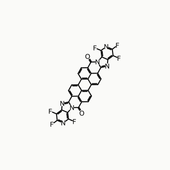 O=c1c2ccc3c4ccc5c6c(ccc(c7ccc(c2c37)c2nc3c(F)c(F)nc(F)c3n12)c46)c(=O)n1c5nc2c(F)c(F)nc(F)c21